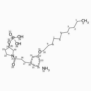 CCCCCCCCCCCOc1cccc(CCC(=O)N2CC[C@@H](OP(=O)(O)O)C2)c1.N